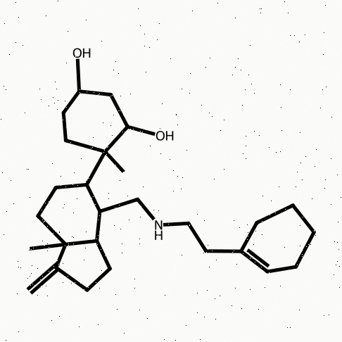 C=C1CCC2C(CNCCC3=CCCCC3)C(C3(C)CCC(O)CC3O)CCC12C